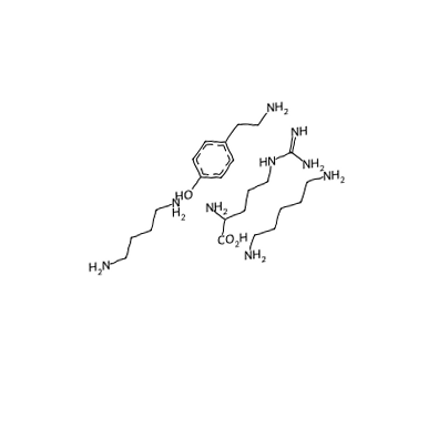 N=C(N)NCCCC(N)C(=O)O.NCCCCCN.NCCCCN.NCCc1ccc(O)cc1